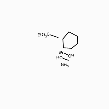 C1CCCCC1.CC(C)O.CCOC(C)=O.CO.N